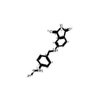 CC(C)SNc1ccc(CNc2ccc3c(c2)C(=O)NC3=O)cc1